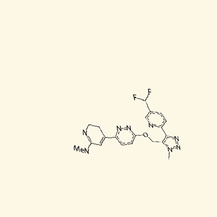 CNC1=NCCC(c2ccc(OCc3c(-c4ccc(C(F)F)cn4)nnn3C)nn2)=C1